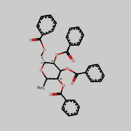 CSC1O[C@H](COC(=O)c2ccccc2)[C@@H](OC(=O)c2ccccc2)C(OC(=O)c2ccccc2)[C@H]1OC(=O)c1ccccc1